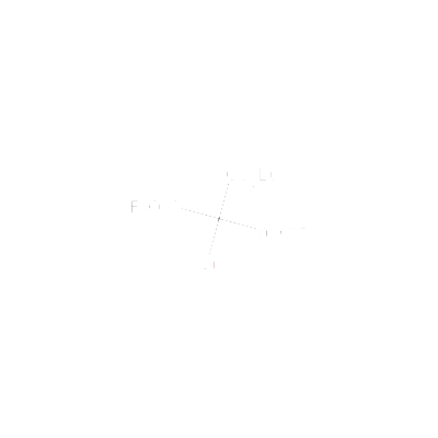 CCCCCC(Br)(C(=O)OCC)C(=O)OCC